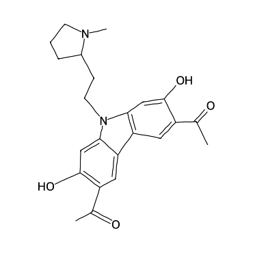 CC(=O)c1cc2c3cc(C(C)=O)c(O)cc3n(CCC3CCCN3C)c2cc1O